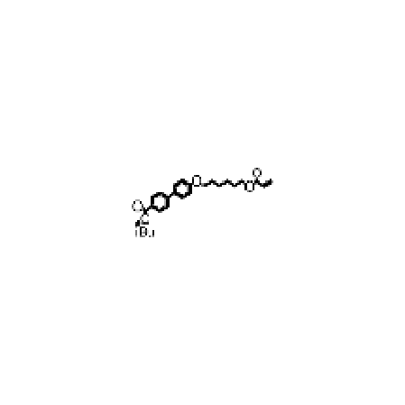 C=CC(=O)OCCCCCCOc1ccc(-c2ccc(C(=O)OCC(C)CC)cc2)cc1